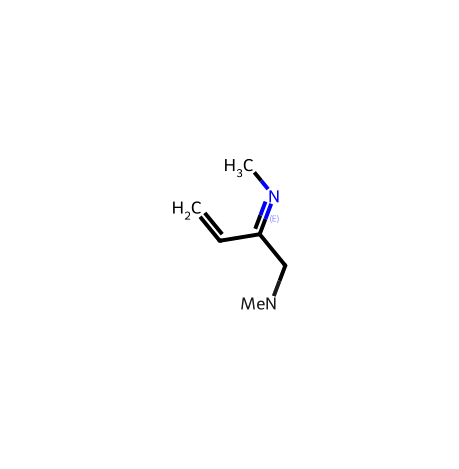 C=C/C(CNC)=N\C